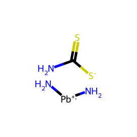 NC(=S)[S-].[NH2][Pb+][NH2]